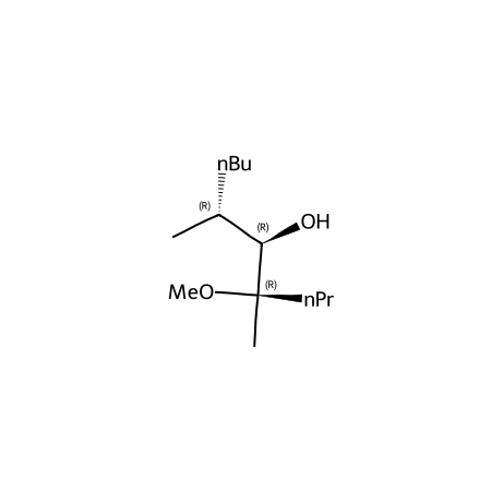 CCCC[C@@H](C)[C@@H](O)[C@@](C)(CCC)OC